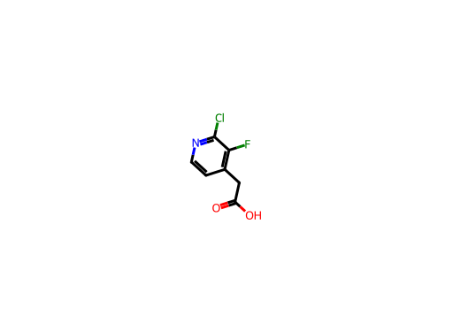 O=C(O)Cc1ccnc(Cl)c1F